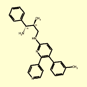 Cc1cccc(-c2ccc(NC[C@H](C)[C@H](N)c3ccccc3)nc2-c2ccncc2)c1